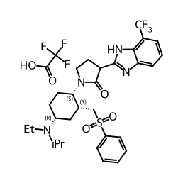 CCN(C(C)C)[C@@H]1CC[C@H](N2CCC(c3nc4cccc(C(F)(F)F)c4[nH]3)C2=O)[C@H](CS(=O)(=O)c2ccccc2)C1.O=C(O)C(F)(F)F